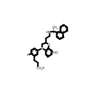 C[C@@H](NCCC1CN(c2ccc(F)c(CCC(=O)O)c2)c2ccccc2O1)c1cccc2ccccc12.Cl